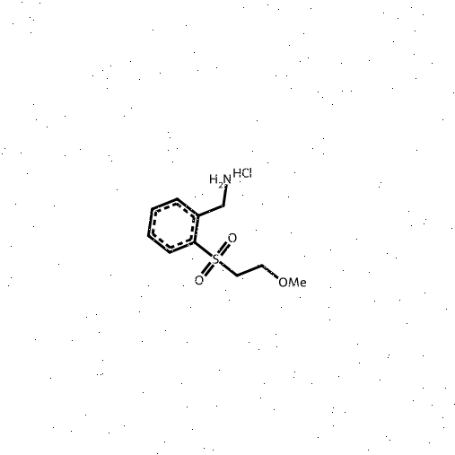 COCCS(=O)(=O)c1ccccc1CN.Cl